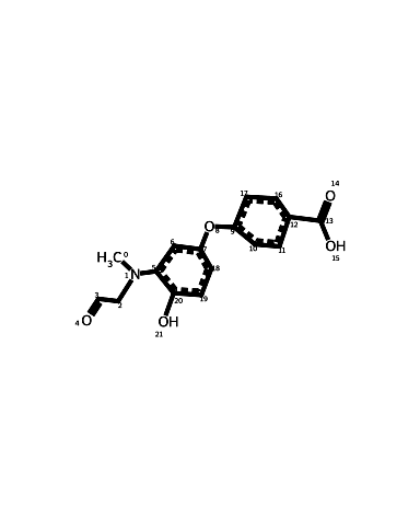 CN(CC=O)c1cc(Oc2ccc(C(=O)O)cc2)ccc1O